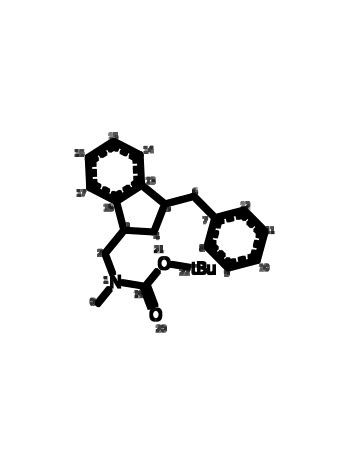 CN(CC1CC(Cc2ccccc2)c2ccccc21)C(=O)OC(C)(C)C